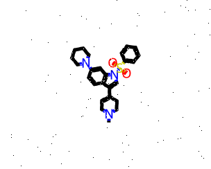 CN1CC=C(c2cn(S(=O)(=O)c3ccccc3)c3cc(N4CCCCC4)ccc23)CC1